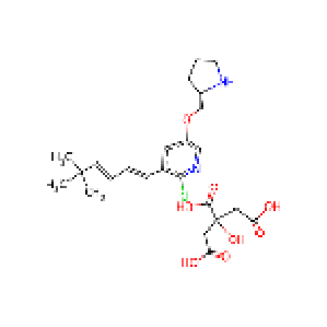 CC(C)(C)C=CC=Cc1cc(OC[C@H]2CCCN2)cnc1Cl.O=C(O)CC(O)(CC(=O)O)C(=O)O